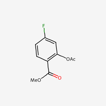 COC(=O)c1ccc(F)cc1OC(C)=O